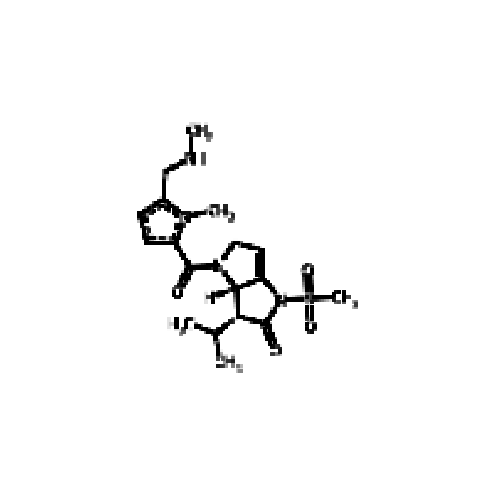 CNCc1ccc(C(=O)N2CC=C3[C@@H]2[C@H](C(C)C)C(=O)N3S(C)(=O)=O)n1C